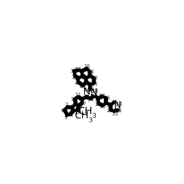 CC1(C)c2ccccc2-c2ccc(-c3cc(-c4ccc(-c5cccnc5)cc4)nc(-c4ccc5ccc6cccc7ccc4c5c67)n3)cc21